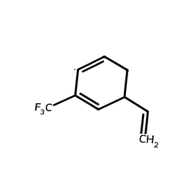 C=CC1C=C(C(F)(F)F)[C]=CC1